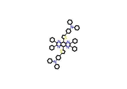 c1ccc(-c2nc3c(-c4ccc(-c5ccc(N(c6ccccc6)c6ccccc6)cc5)s4)c4nc(-c5ccccc5)c(-c5ccccc5)nc4c(-c4ccc(-c5ccc(N(c6ccccc6)c6ccccc6)cc5)s4)c3nc2-c2ccccc2)cc1